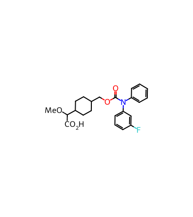 COC(C(=O)O)C1CCC(COC(=O)N(c2ccccc2)c2cccc(F)c2)CC1